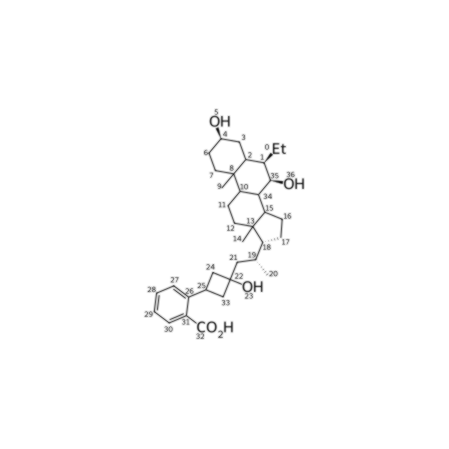 CC[C@@H]1C2C[C@H](O)CCC2(C)C2CCC3(C)C(CC[C@@H]3[C@H](C)CC3(O)CC(c4ccccc4C(=O)O)C3)C2[C@@H]1O